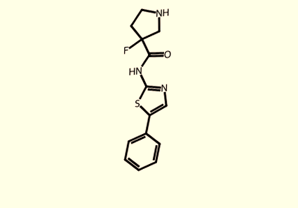 O=C(Nc1ncc(-c2ccccc2)s1)C1(F)CCNC1